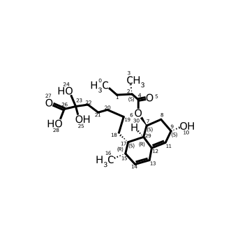 CC[C@H](C)C(=O)O[C@H]1C[C@H](O)C=C2C=C[C@H](C)[C@H](CCCCCC(O)(O)C(=O)O)[C@H]21